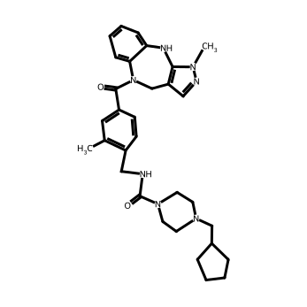 Cc1cc(C(=O)N2Cc3cnn(C)c3Nc3ccccc32)ccc1CNC(=O)N1CCN(CC2CCCC2)CC1